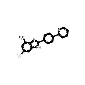 FC(F)(F)c1cc(C(F)(F)F)c2nc(-c3ccc(-c4ccccn4)cc3)[nH]c2c1